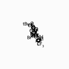 CC(C)(C)OC(=O)N1CCC2(CC1)OCc1c2c(=O)n2nc(Br)nc2n1CC(=O)Nc1ccc(C(F)(F)F)cc1Cl